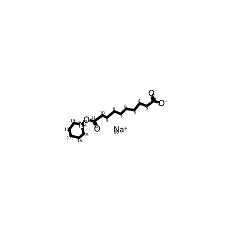 O=C([O-])CCCCCCCCC(=O)ON1CCCCC1.[Na+]